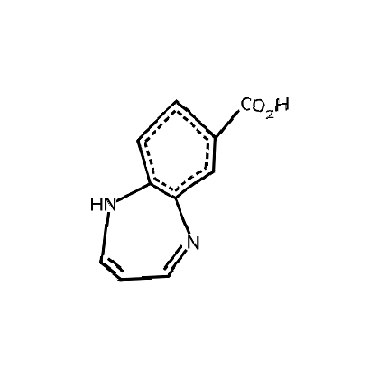 O=C(O)c1ccc2c(c1)N=CC=CN2